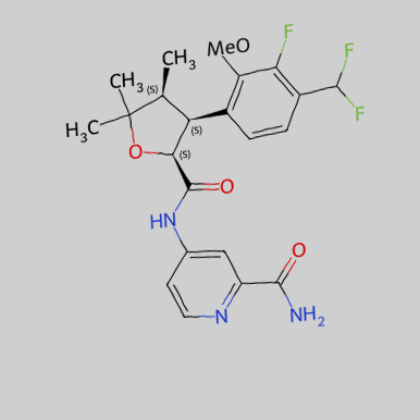 COc1c([C@H]2[C@@H](C(=O)Nc3ccnc(C(N)=O)c3)OC(C)(C)[C@H]2C)ccc(C(F)F)c1F